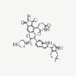 CN(C(=O)C(Cc1ccc2c(c1C1CCC(=O)NC1=O)C(=O)NC2=O)c1ccc2cc(-c3n[nH]c4c3CCC(C)(C)C4)[nH]c2c1)N1CCNCC1